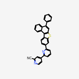 N#Cc1cc(-c2cccc(-c3ccc4c(c3)sc3cc(-c5ccccc5)c5ccccc5c34)n2)ccn1